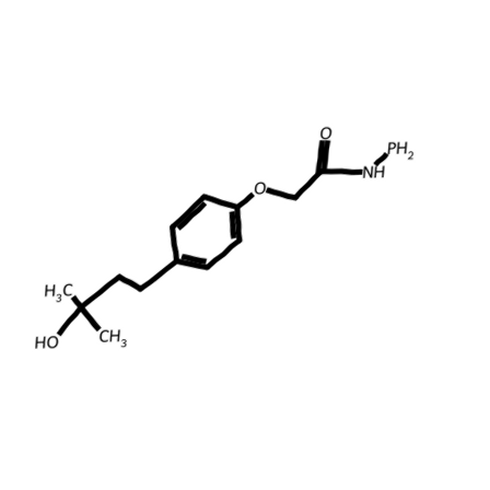 CC(C)(O)CCc1ccc(OCC(=O)NP)cc1